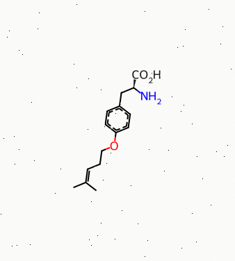 CC(C)=CCCOc1ccc(C[C@H](N)C(=O)O)cc1